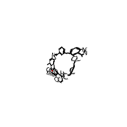 Cc1cc2nc3sc2c(c1C(OC(C)(C)C)C(=O)O)-c1ccc2c(c1)C(CCCC[C@H](C)Oc1c(ccc4c1c(C)nn4C)-c1cccc-3c1)CCO2